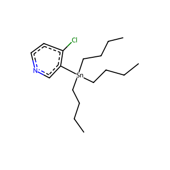 CCC[CH2][Sn]([CH2]CCC)([CH2]CCC)[c]1cnccc1Cl